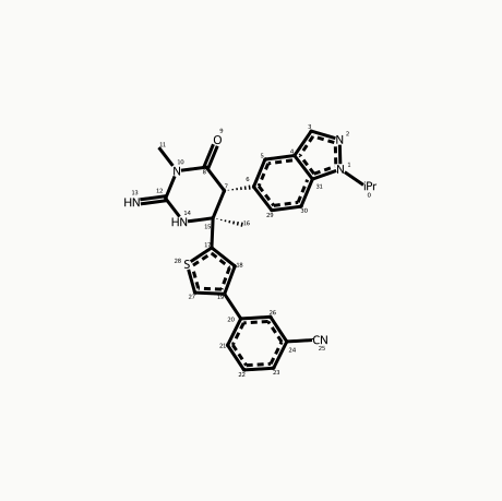 CC(C)n1ncc2cc([C@H]3C(=O)N(C)C(=N)N[C@]3(C)c3cc(-c4cccc(C#N)c4)cs3)ccc21